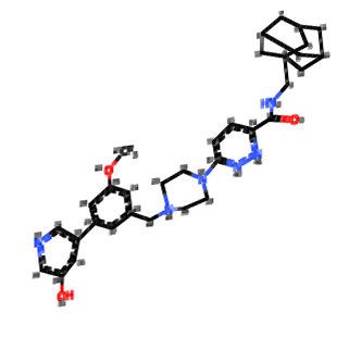 O=C(NCC12CC3CC(CC(C3)C1)C2)c1ccc(N2CCN(Cc3cc(OC(F)(F)F)cc(-c4cncc(O)c4)c3)CC2)nn1